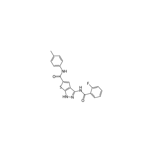 Cc1ccc(NC(=O)c2cc3c(NC(=O)c4ccccc4F)n[nH]c3s2)cc1